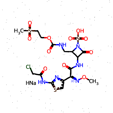 CO/N=C(\C(=O)NC1C(=O)N(S(=O)(=O)O)C1CNC(=O)OCCS(C)(=O)=O)c1csc(NC(=O)CCl)n1.[NaH]